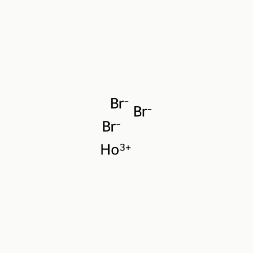 [Br-].[Br-].[Br-].[Ho+3]